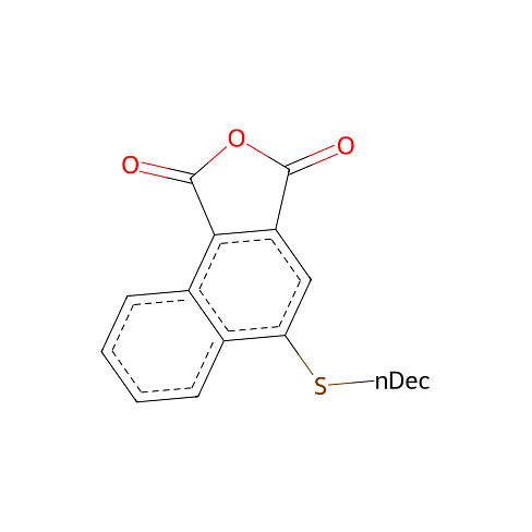 CCCCCCCCCCSc1cc2c(c3ccccc13)C(=O)OC2=O